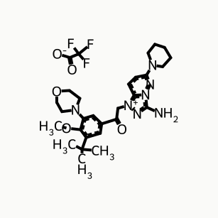 COc1c(N2CCOCC2)cc(C(=O)C[n+]2nc(N)n3nc(N4CCCCC4)ccc32)cc1C(C)(C)C.O=C([O-])C(F)(F)F